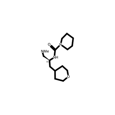 CNC[C@H](CC1CCOCC1)NC(=O)N1CCCCC1